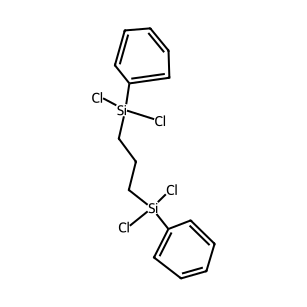 Cl[Si](Cl)(CCC[Si](Cl)(Cl)c1ccccc1)c1ccccc1